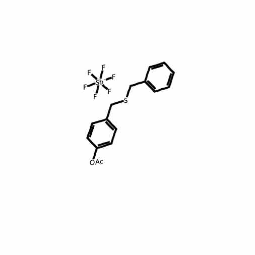 CC(=O)Oc1ccc(CSCc2ccccc2)cc1.[F][Sb-]([F])([F])([F])([F])[F]